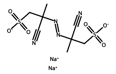 CC(C#N)(CS(=O)(=O)[O-])N=NC(C)(C#N)CS(=O)(=O)[O-].[Na+].[Na+]